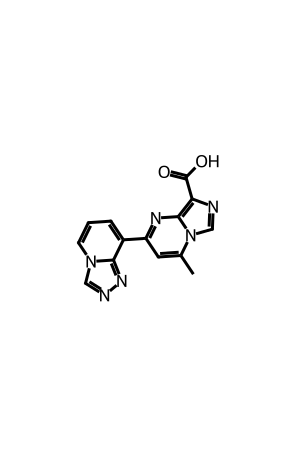 Cc1cc(-c2cccn3cnnc23)nc2c(C(=O)O)ncn12